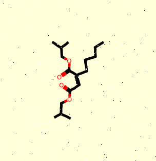 CCCCC/C(=C/C(=O)OCC(C)C)C(=O)OCC(C)C